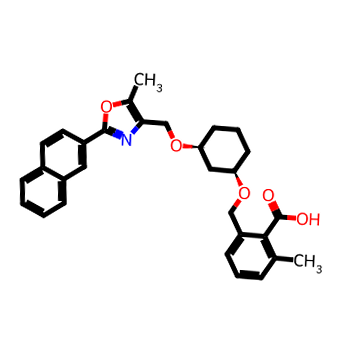 Cc1cccc(CO[C@@H]2CCC[C@H](OCc3nc(-c4ccc5ccccc5c4)oc3C)C2)c1C(=O)O